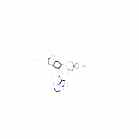 CC1(C)Cc2cc(NC(O)c3cnn4cccnc34)c(N3CCC4(CC3)CN(CC(F)(F)F)C4)cc2O1